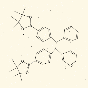 CC1(C)OB(c2ccc(C(c3ccccc3)C(c3ccccc3)c3ccc(B4OC(C)(C)C(C)(C)O4)cc3)cc2)OC1(C)C